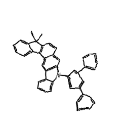 CC1(C)c2ccccc2-c2c1ccc1cc3c(cc21)c1ccccc1n3-c1cc(-c2ccccc2)cc(-c2ccccc2)c1